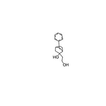 OCCC1(O)CC2CCC1C=C2c1ccccc1